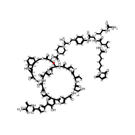 C=C(NC(=O)c1csc(-c2nc3c(cc2O)-c2nc(cs2)C(=O)N[C@@H]([C@@H](C)O)C(=O)N/C(=C\C)c2nc(cs2)C(=O)N[C@H]2C[C@H](OC(=O)N4CCN(C(O)OCc5ccc(NC(=O)[C@H](CCCNC(N)=O)NC(=O)[C@@H](NC(=O)CCCCCN6C(=O)C=CC6=O)C(C)C)cc5)CC4)C(=O)OCc4cccc5[nH]c(c(C)c45)C(=O)SC[C@H](NC(=O)c4csc2n4)c2nc-3cs2)n1)C(N)=O